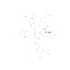 CC(C)(C)c1ccc(N2B3c4sc5cc6c(cc5c4N(c4ccc(C(C)(C)C)cc4-c4ccccc4)c4cc5c(oc7ccccc75)c(c43)-c3cc4c(cc32)sc2cc3c(cc24)C(C)(C)CCC3(C)C)C(C)(C)CCC6(C)C)cc1